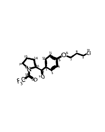 O=C(c1ccc(OCCCCl)cc1)C1CCCN1C(=O)C(F)(F)F